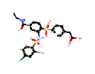 CCNC(=O)c1ccc(S(=O)(=O)c2ccc(CC(=O)O)cc2)c(NS(=O)(=O)c2ccc(Cl)cc2Cl)c1